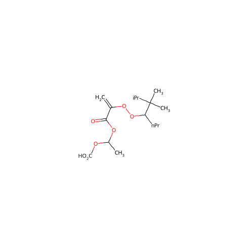 C=C(OOC(CCC)C(C)(C)C(C)C)C(=O)OC(C)OC(=O)O